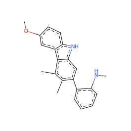 CNc1ccccc1-c1cc2[nH]c3ccc(OC)cc3c2c(C)c1C